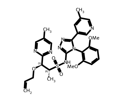 C=CCO[C@@H](c1ncc(C)cn1)[C@@H](C)S(=O)(=O)Nc1nnc(-c2cncc(C)c2)n1-c1c(OC)cccc1OC